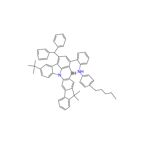 CCCCCc1ccc(Nc2ccccc2-c2cc(C(c3ccccc3)c3ccccc3)c3c4cc(C(C)(C)C)ccc4n4c3c2Bc2cc3c(cc2-4)-c2ccccc2C3(C)C)cc1